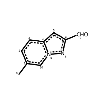 Cc1ccc2cc(C=O)nn2c1